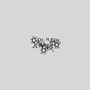 CC(C)(CC1CC1(C)c1ccccc1C(C)(C)CC1CC12OC(C)(C)c1ccccc12)c1ccccc1C1CC1